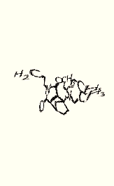 C=CCN1C(=O)C2=C(C1=O)C1([Si](CC)(CC)CC)CCC2C1